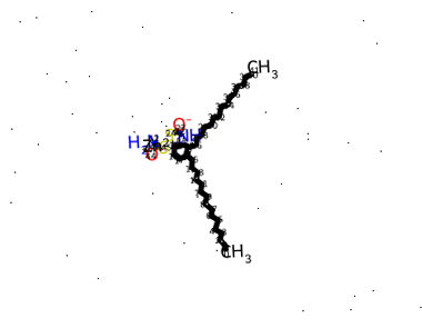 CCCCCCCCCCCCCCCCc1cccc(NC([O-])=S)c1CCCCCCCCCCCCCCCC.NC([O-])=S.[Zn+2]